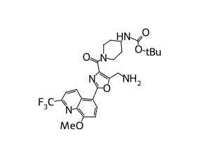 COc1ccc(-c2nc(C(=O)N3CCC(NC(=O)OC(C)(C)C)CC3)c(CN)o2)c2ccc(C(F)(F)F)nc12